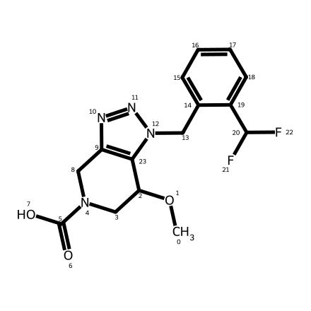 COC1CN(C(=O)O)Cc2nnn(Cc3ccccc3C(F)F)c21